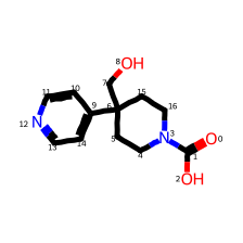 O=C(O)N1CCC(CO)(c2ccncc2)CC1